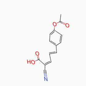 CC(=O)Oc1ccc(C=CC=C(C#N)C(=O)O)cc1